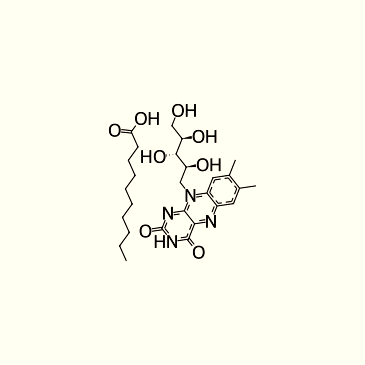 CCCCCCCCCC(=O)O.Cc1cc2nc3c(=O)[nH]c(=O)nc-3n(C[C@H](O)[C@H](O)[C@H](O)CO)c2cc1C